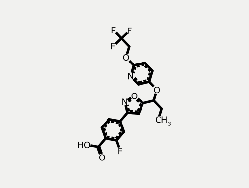 CCC(Oc1ccc(OCC(F)(F)F)nc1)c1cc(-c2ccc(C(=O)O)c(F)c2)no1